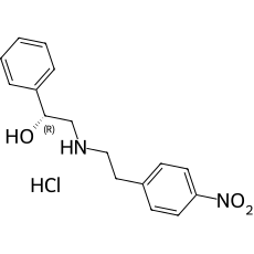 Cl.O=[N+]([O-])c1ccc(CCNC[C@H](O)c2ccccc2)cc1